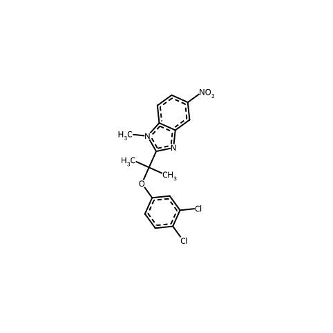 Cn1c(C(C)(C)Oc2ccc(Cl)c(Cl)c2)nc2cc([N+](=O)[O-])ccc21